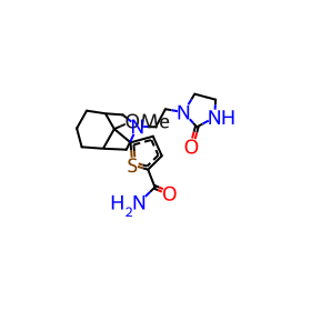 COC1(c2ccc(C(N)=O)s2)C2CCCC1CN(CCN1CCNC1=O)C2